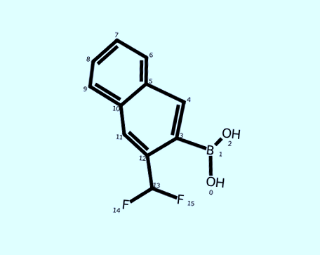 OB(O)c1cc2ccccc2cc1C(F)F